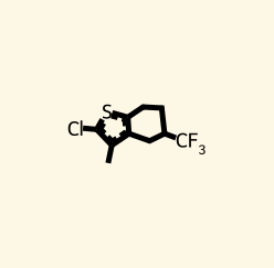 Cc1c(Cl)sc2c1CC(C(F)(F)F)CC2